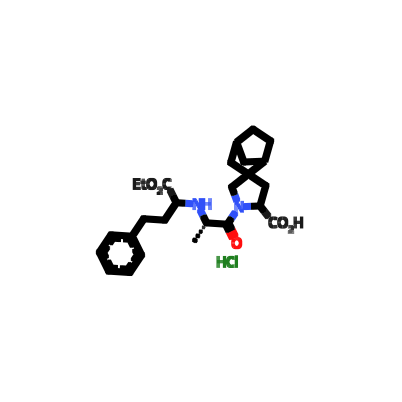 CCOC(=O)C(CCc1ccccc1)N[C@@H](C)C(=O)N1CC2(CC3CCC2C3)CC1C(=O)O.Cl